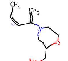 C=C(/C=C\C)N1CCOC(CO)C1